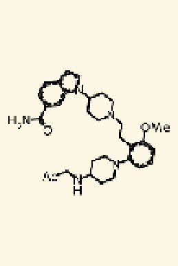 COc1cccc(N2CCC(NCC(C)=O)CC2)c1CCN1CCC(n2ccc3ccc(C(N)=O)cc32)CC1